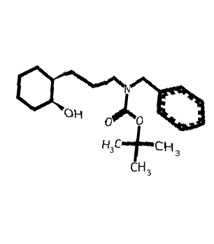 CC(C)(C)OC(=O)N(CCC[C@@H]1CCCC[C@@H]1O)Cc1ccccc1